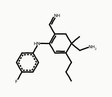 CCCC1=CC(Nc2ccc(F)cc2)=C(C=N)CC1(C)CN